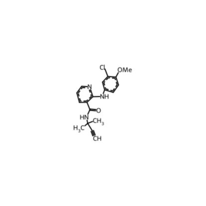 C#CC(C)(C)NC(=O)c1cccnc1Nc1ccc(OC)c(Cl)c1